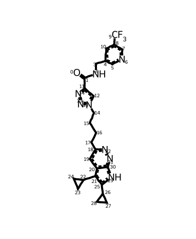 O=C(NCc1cncc(C(F)(F)F)c1)c1cn(CCCCc2cc3c(C4CC4)c(C4CC4)[nH]c3nn2)nn1